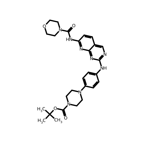 CC(C)(C)OC(=O)N1CCN(c2ccc(Nc3ncc4ccc(NC(=O)N5CCOCC5)nc4n3)cc2)CC1